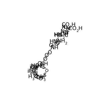 CC[C@H](C)[C@@H]1NC(=O)[C@H](CC(C)C)NC(=O)C(C)(C)NC(=O)CCSCc2cccc(c2)CSC[C@@H](C(=O)NCCCOCCOCCOCCCNC(=O)CCC(=O)N[C@@H](CCCCNC(O)CN2CCN(CC(=O)O)CCN(CC(=O)O)CCN(CC(=O)O)CC2)C(N)=O)NC1O